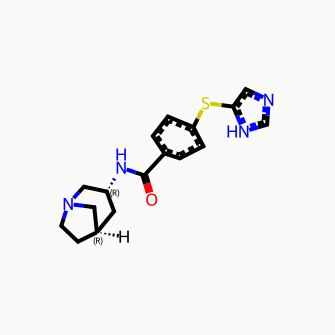 O=C(N[C@@H]1C[C@H]2CCN(C2)C1)c1ccc(Sc2cnc[nH]2)cc1